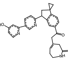 O=C1CC(CC(=O)c2ccc3c(c2)C(c2ccc(-c4cc(O)ccn4)cn2)CC32CC2)=CCCN1